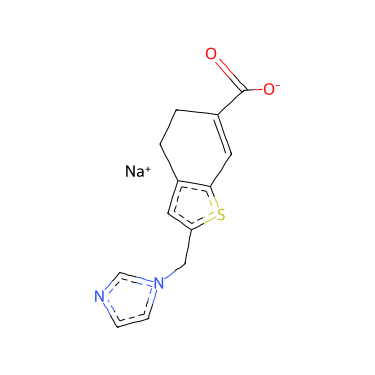 O=C([O-])C1=Cc2sc(Cn3ccnc3)cc2CC1.[Na+]